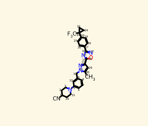 [C-]#[N+]C1CCN(c2cccc(Cn3nc(-c4nc(-c5ccc(C6(C(F)(F)F)CC6)cc5)no4)cc3C)c2)CC1